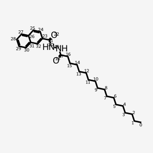 CCCCCCCCCCCCCCCCCC(=O)NNC(=O)c1ccc2ccccc2c1